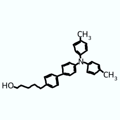 Cc1ccc(N(c2ccc(C)cc2)c2ccc(-c3ccc(CCCCCO)cc3)cc2)cc1